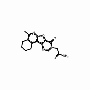 Cc1nc2oc3c(=O)n(CC(N)=O)cnc3c2c2c1CCCC2